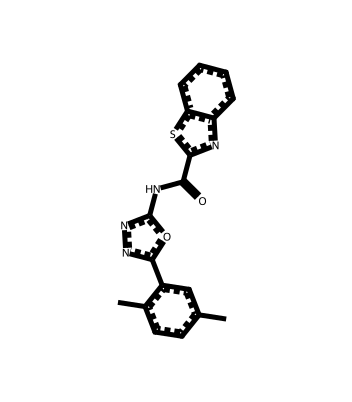 Cc1ccc(C)c(-c2nnc(NC(=O)c3nc4ccccc4s3)o2)c1